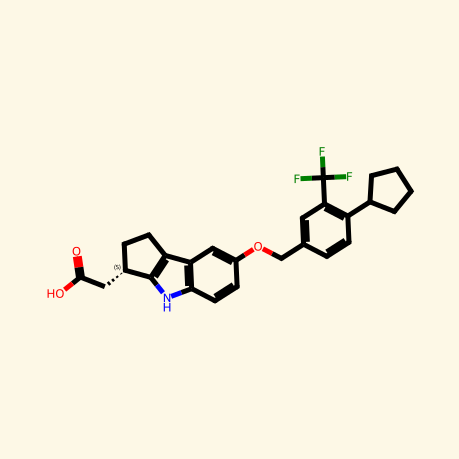 O=C(O)C[C@@H]1CCc2c1[nH]c1ccc(OCc3ccc(C4CCCC4)c(C(F)(F)F)c3)cc21